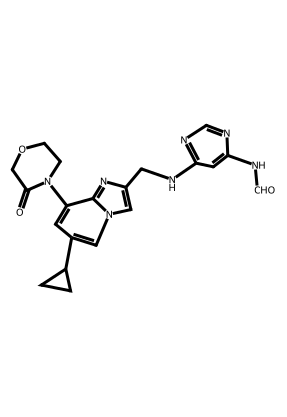 O=CNc1cc(NCc2cn3cc(C4CC4)cc(N4CCOCC4=O)c3n2)ncn1